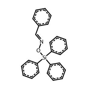 C(=NO[Si](c1ccccc1)(c1ccccc1)c1ccccc1)c1ccccc1